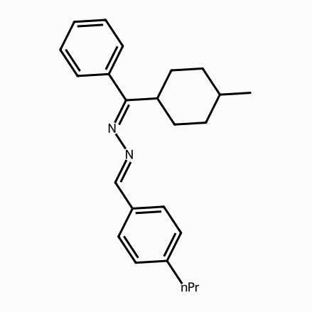 CCCc1ccc(C=NN=C(c2ccccc2)C2CCC(C)CC2)cc1